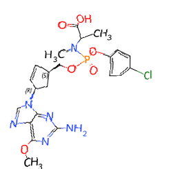 COc1nc(N)nc2c1ncn2[C@H]1C=C[C@@H](COP(=O)(Oc2ccc(Cl)cc2)N(C)C(C)C(=O)O)C1